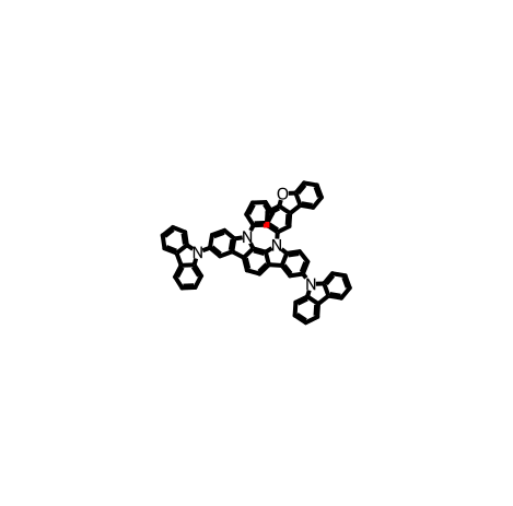 c1ccc(-n2c3ccc(-n4c5ccccc5c5ccccc54)cc3c3ccc4c5cc(-n6c7ccccc7c7ccccc76)ccc5n(-c5ccc6oc7ccccc7c6c5)c4c32)cc1